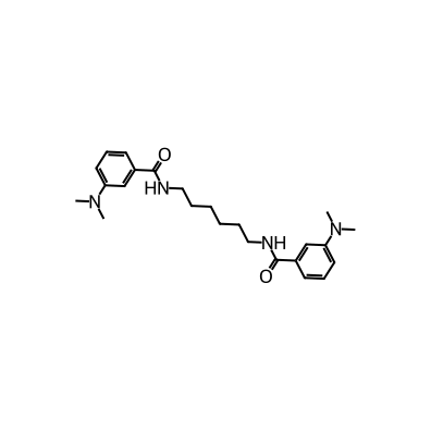 CN(C)c1cccc(C(=O)NCCCCCCNC(=O)c2cccc(N(C)C)c2)c1